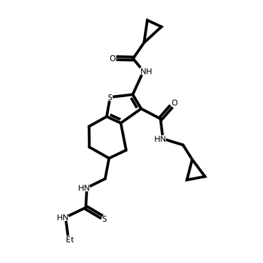 CCNC(=S)NCC1CCc2sc(NC(=O)C3CC3)c(C(=O)NCC3CC3)c2C1